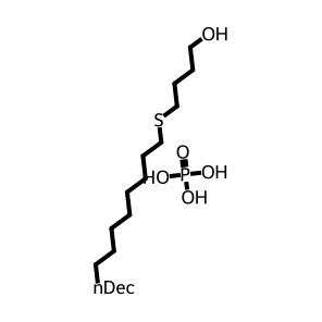 CCCCCCCCCCCCCCCCCCSCCCCO.O=P(O)(O)O